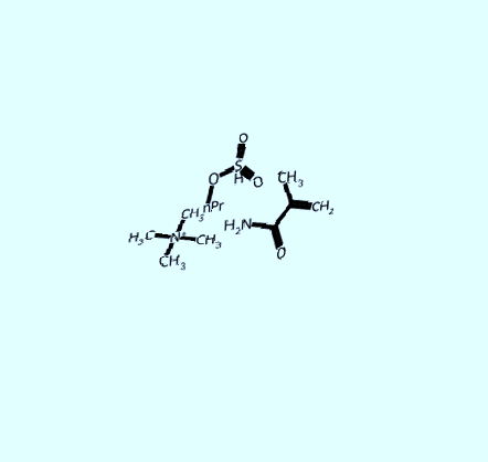 C=C(C)C(N)=O.CCCO[SH](=O)=O.C[N+](C)(C)C